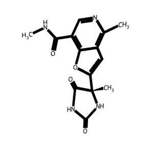 CNC(=O)c1cnc(C)c2cc([C@]3(C)NC(=O)NC3=O)oc12